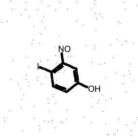 O=Nc1cc(O)ccc1I